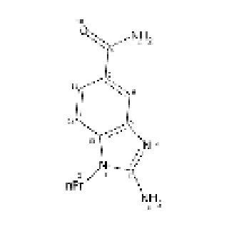 CCCn1c(N)nc2cc(C(N)=O)ccc21